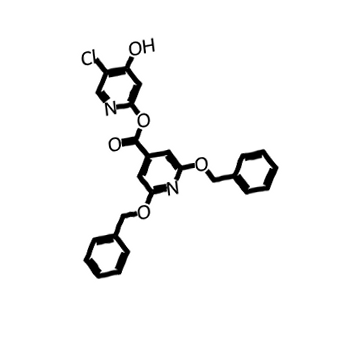 O=C(Oc1cc(O)c(Cl)cn1)c1cc(OCc2ccccc2)nc(OCc2ccccc2)c1